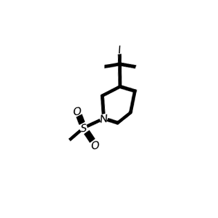 CC(C)(I)C1CCCN(S(C)(=O)=O)C1